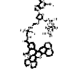 COC(=O)c1cc(C(=O)NCC(C)(C)SSCO[C@@H]2C[C@H](n3cnc4c(=O)[nH]c(N)nc43)O[C@@H]2COP(=O)(O)OP(=O)(O)OP(=O)(O)O)ccc1C1=c2cc3c4c(c2Oc2c1cc1c5c2CCCN5CCC1)CCC[N+]=4CCC3